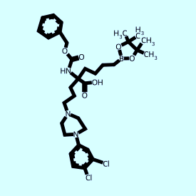 CC1(C)OB(CCCCC(CCCN2CCN(c3ccc(Cl)c(Cl)c3)CC2)(NC(=O)OCc2ccccc2)C(=O)O)OC1(C)C